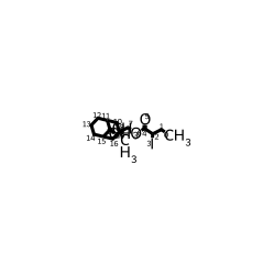 CCC(I)C(=O)OCC1(C)CC2CCCC(C1)C2(C)O